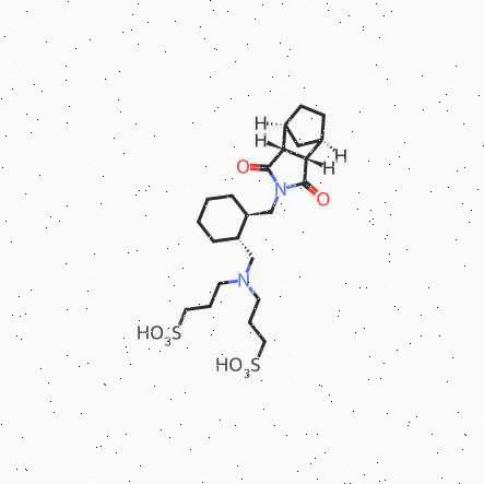 O=C1[C@@H]2[C@H]3CC[C@H](C3)[C@@H]2C(=O)N1C[C@@H]1CCCC[C@H]1CN(CCCS(=O)(=O)O)CCCS(=O)(=O)O